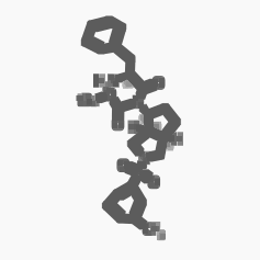 CC(C)(C)OC(=O)N(C(=O)[C@@H](N)Cc1ccccc1)[C@H]1CC[C@@H]2CN(S(=O)(=O)c3cccc(C(F)(F)F)c3)C[C@@H]21